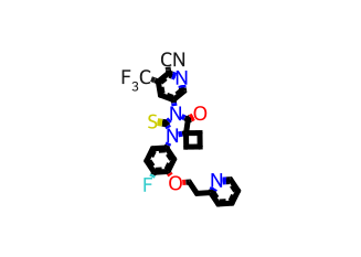 N#Cc1ncc(N2C(=O)C3(CCC3)N(c3ccc(F)c(OCCc4ccccn4)c3)C2=S)cc1C(F)(F)F